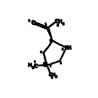 CC(=O)[C@@H]1C[Si](C)(C)CN1